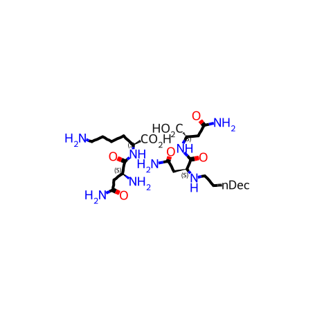 CCCCCCCCCCCCN[C@@H](CC(N)=O)C(=O)N[C@@H](CC(N)=O)C(=O)O.NCCCC[C@H](NC(=O)[C@@H](N)CC(N)=O)C(=O)O